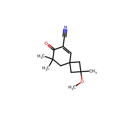 COC1(C)CC2(C=C(C#N)C(=O)C(C)(C)C2)C1